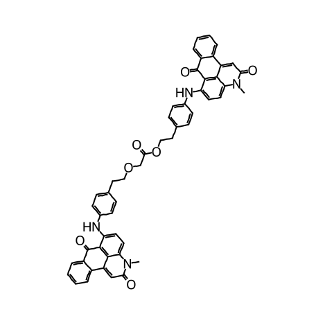 Cn1c(=O)cc2c3c(c(Nc4ccc(CCOCC(=O)OCCc5ccc(Nc6ccc7c8c(cc(=O)n7C)-c7ccccc7C(=O)c68)cc5)cc4)ccc31)C(=O)c1ccccc1-2